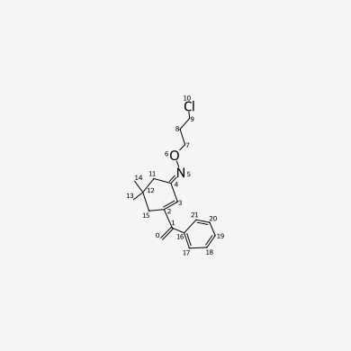 C=C(C1=C/C(=N/OCCCCl)CC(C)(C)C1)c1ccccc1